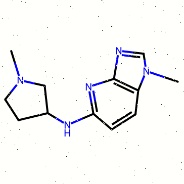 CN1CCC(Nc2ccc3c(ncn3C)n2)C1